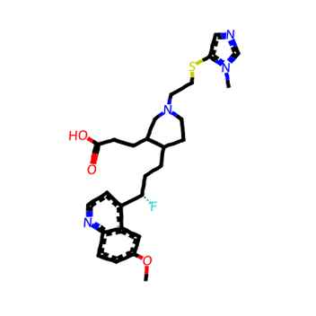 COc1ccc2nccc([C@@H](F)CCC3CCN(CCSc4cncn4C)CC3CCC(=O)O)c2c1